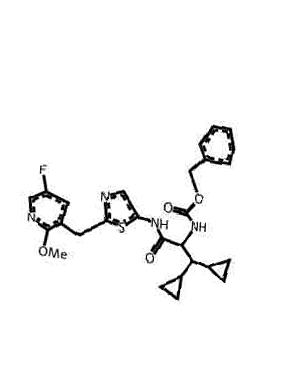 COc1ncc(F)cc1Cc1ncc(NC(=O)C(NC(=O)OCc2ccccc2)C(C2CC2)C2CC2)s1